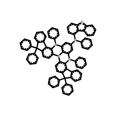 c1ccc(N2c3cc(N(c4ccccc4)c4cccc5oc6ccccc6c45)cc4c3B(c3ccc5c(c32)-c2ccccc2C5(c2ccccc2)c2ccccc2)c2ccc3c(c2N4c2ccccc2)-c2ccccc2C3(c2ccccc2)c2ccccc2)cc1